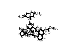 C=C1CN2CC(=C)CC2(COc2nc(N3C[C@H]4CC[C@@H](C3)N4C(=O)O)c3cnc(-c4c(F)c(NC(=O)OC(C)(C)C)cc5cccc(C#C[Si](C(C)C)(C(C)C)C(C)C)c45)c(F)c3n2)C1